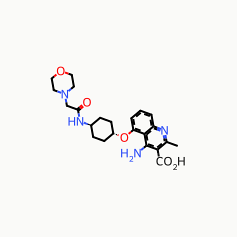 Cc1nc2cccc(O[C@H]3CC[C@H](NC(=O)CN4CCOCC4)CC3)c2c(N)c1C(=O)O